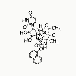 CC(C)OC(=O)C(C)(C)NP(=O)(OC[C@@]1(N)O[C@@H](n2ccc(=O)[nH]c2=O)[C@H](O)[C@@H]1O)Oc1cccc2ccccc12